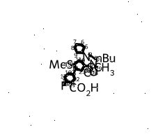 CCCCC1CN(c2ccccc2)c2cc(SC)c(-c3ccc(F)c(C(=O)O)c3)cc2S(=O)(=O)N1C